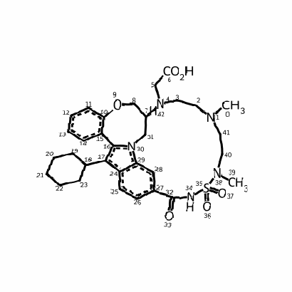 CN1CCN(CC(=O)O)[C@H]2COc3ccccc3-c3c(C4CCCCC4)c4ccc(cc4n3C2)C(=O)NS(=O)(=O)N(C)CC1